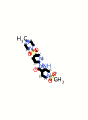 CN1CCN(S(=O)(=O)c2ccc(-n3[nH]c4c(c3=O)CCN(S(C)(=O)=O)C4)nc2)CC1